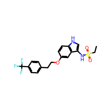 CCS(=O)(=O)Nc1c[nH]c2ccc(OCCc3ccc(C(F)(F)F)cc3)cc12